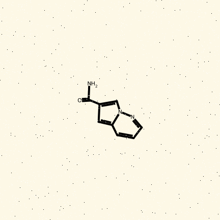 NC(=O)c1cc2cccnn2c1